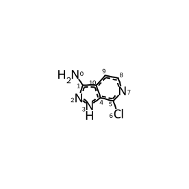 Nc1n[nH]c2c(Cl)nccc12